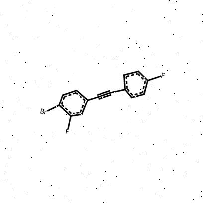 Fc1ccc(C#Cc2ccc(Br)c(F)c2)cc1